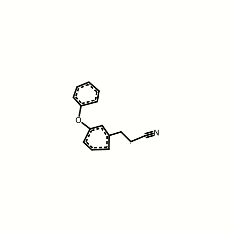 N#C[CH]Cc1cccc(Oc2ccccc2)c1